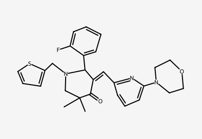 CC1(C)CN(Cc2cccs2)C(c2ccccc2F)C(=Cc2cccc(N3CCOCC3)n2)C1=O